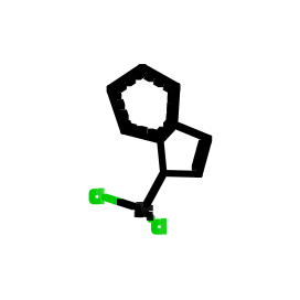 [Cl][Sc]([Cl])[CH]1C=Cc2ccccc21